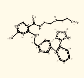 CCCCc1ncc(C(=O)NCCOCCOC)c(NCc2ccc(-c3ccccc3-c3nnn[nH]3)cc2)n1